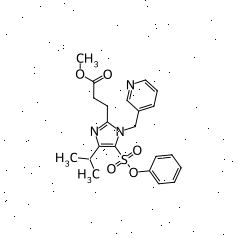 COC(=O)CCc1nc(C(C)C)c(S(=O)(=O)Oc2ccccc2)n1Cc1cccnc1